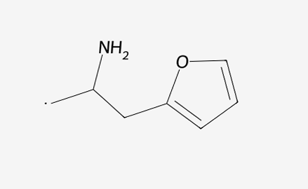 [CH2]C(N)Cc1ccco1